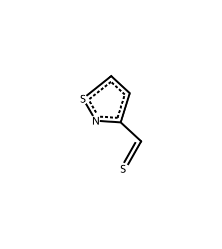 S=Cc1ccsn1